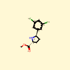 COC(=O)[C@H]1CC[C@H](c2cc(F)cc(F)c2)N1